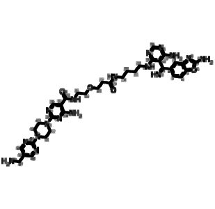 N=C(c1ccc2oc(N)nc2c1)c1c(N)ncnc1NCCCCNC(=O)CCOCCNC(=O)c1cnc(N2CCN(c3ncc(CN)cn3)CC2)nc1N